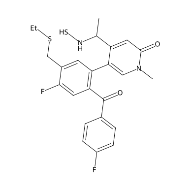 CCSCc1cc(-c2cn(C)c(=O)cc2C(C)NS)c(C(=O)c2ccc(F)cc2)cc1F